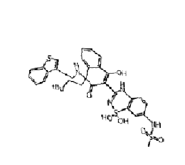 CC(C)(C)CCC1(NCc2csc3ccccc23)C(=O)C(C2=NS(O)(O)c3cc(NS(C)(=O)=O)ccc3N2)=C(O)c2ccccc21